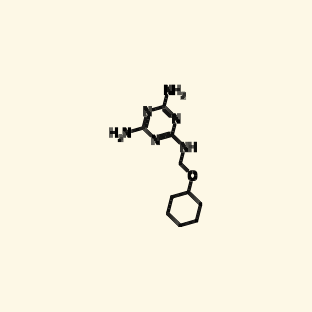 Nc1nc(N)nc(NCOC2CCCCC2)n1